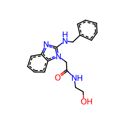 O=C(Cn1c(NCc2ccccc2)nc2ccccc21)NCCO